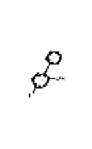 Oc1cc(Cl)ccc1-c1ccccc1